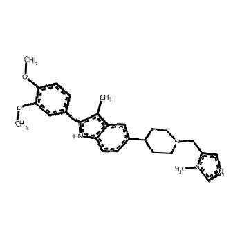 COc1ccc(-c2[nH]c3ccc(C4CCN(Cc5cncn5C)CC4)cc3c2C)cc1OC